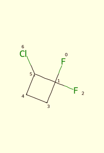 FC1(F)CC[C]1Cl